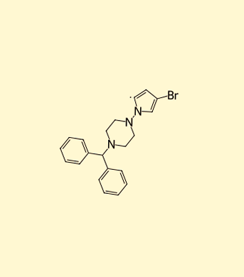 Brc1c[c]n(N2CCN(C(c3ccccc3)c3ccccc3)CC2)c1